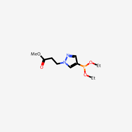 CCOP(OCC)c1cnn(CCC(=O)OC)c1